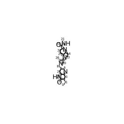 CCc1cc2ncc(CN3C[C@H](n4ccc5nc(C(=O)NC)ccc54)[C@H]3C)cc2[nH]c1=O